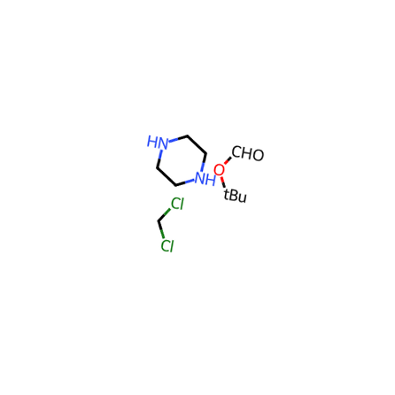 C1CNCCN1.CC(C)(C)OC=O.ClCCl